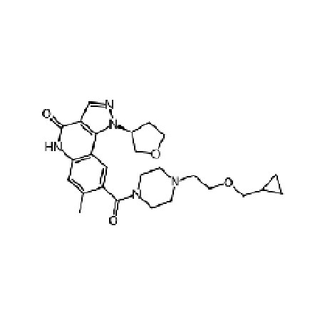 Cc1cc2[nH]c(=O)c3cnn([C@H]4CCOC4)c3c2cc1C(=O)N1CCN(CCOCC2CC2)CC1